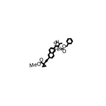 COC(=O)C1(C#Cc2ccc3cc(-c4snc(C)c4NC(=O)OCc4ccccc4)ccc3c2)CC1